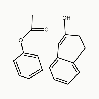 CC(=O)Oc1ccccc1.OC1=Cc2ccccc2CC1